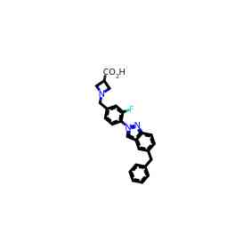 O=C(O)C1CN(Cc2ccc(-n3cc4cc(Cc5ccccc5)ccc4n3)c(F)c2)C1